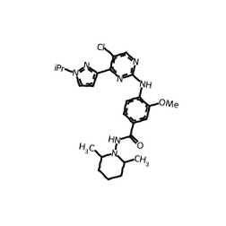 COc1cc(C(=O)NN2C(C)CCCC2C)ccc1Nc1ncc(Cl)c(-c2ccn(C(C)C)n2)n1